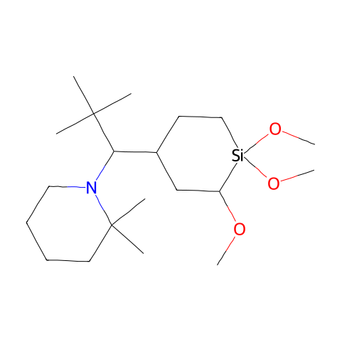 COC1CC(C(N2CCCCC2(C)C)C(C)(C)C)CC[Si]1(OC)OC